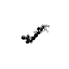 COC(=O)N[C@@H](C)C(=O)N1CCC[C@H]1c1ncc(-c2ccc(-c3ccc(-c4cnc([C@@H]5CCCN5C(=O)[C@H](Cc5cccnc5)NC(=O)OC)[nH]4)cc3)cc2)[nH]1